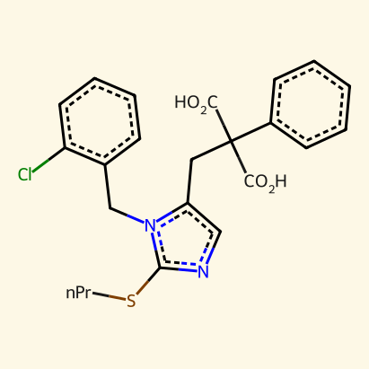 CCCSc1ncc(CC(C(=O)O)(C(=O)O)c2ccccc2)n1Cc1ccccc1Cl